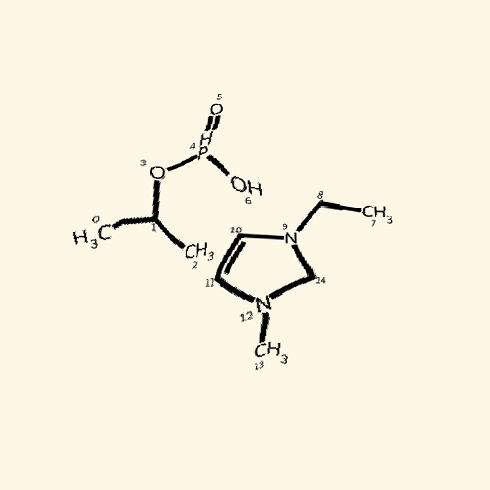 CC(C)O[PH](=O)O.CCN1C=CN(C)C1